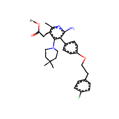 Cc1nc(N)c(-c2ccc(OCCc3ccc(F)cc3)cc2)c(N2CCC(C)(C)CC2)c1CC(=O)OC(C)C